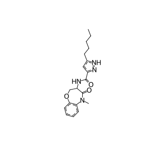 CCCCCc1cc(C(=O)NC2COc3ccccc3N(C)C2=O)n[nH]1